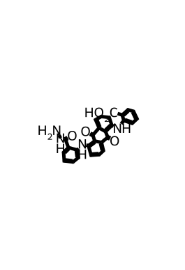 NNC(=O)c1ccccc1Nc1cccc2c1C(=O)C1=CCCC(Nc3ccccc3C(=O)O)=C1C2=O